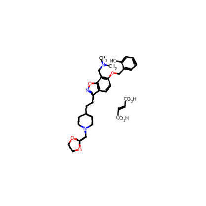 CN(C)Cc1c(OCc2ccccc2C#N)ccc2c(CCC3CCN(CC4OCCO4)CC3)noc12.O=C(O)/C=C/C(=O)O